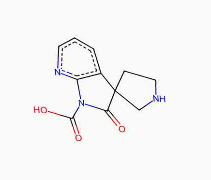 O=C(O)N1C(=O)C2(CCNC2)c2cccnc21